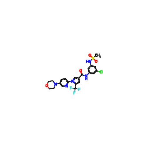 CS(=O)(=O)Nc1cc(Cl)cc(NC(=O)c2cc(C(F)(F)F)n(-c3ccc(N4CCOCC4)cn3)c2)c1